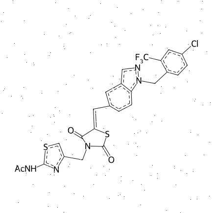 CC(=O)Nc1nc(CN2C(=O)S/C(=C\c3ccc4c(cnn4Cc4ccc(Cl)cc4C(F)(F)F)c3)C2=O)cs1